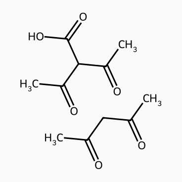 CC(=O)C(C(C)=O)C(=O)O.CC(=O)CC(C)=O